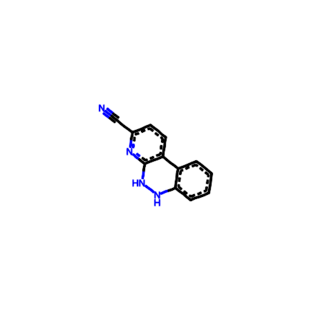 N#Cc1ccc2c(n1)NNc1ccccc1-2